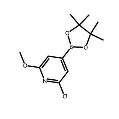 COc1cc(B2OC(C)(C)C(C)(C)O2)cc(Cl)n1